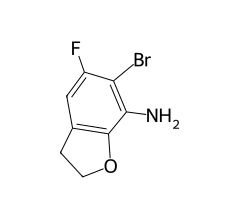 Nc1c(Br)c(F)cc2c1OCC2